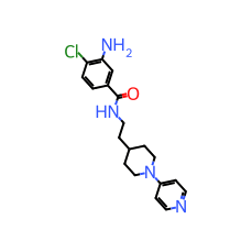 Nc1cc(C(=O)NCCC2CCN(c3ccncc3)CC2)ccc1Cl